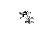 COC(O)(O)OC(C)C(=O)OC(C)(C)CNC(=O)N[C@@H](C(=O)N1CC[C@](O)(c2ccc(Cl)cc2)C(C)(C)C1)C(C)C